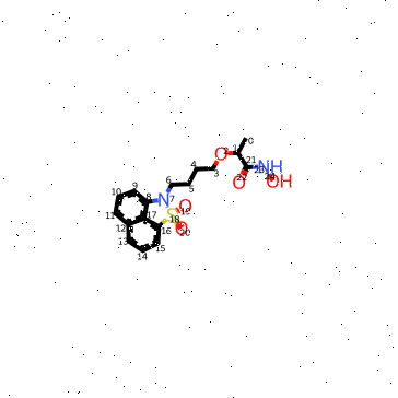 CC(OCCCCN1c2cccc3cccc(c23)S1(=O)=O)C(=O)NO